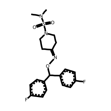 CN(C)S(=O)(=O)N1CCC(=NOC(c2ccc(F)cc2)c2ccc(F)cc2)CC1